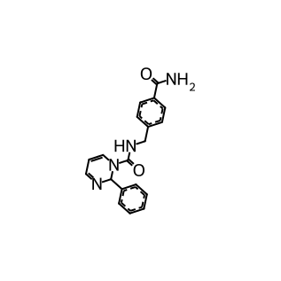 NC(=O)c1ccc(CNC(=O)N2C=CC=NC2c2ccccc2)cc1